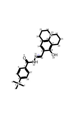 C[N+](C)(C)c1ccc(C(=O)N/N=C/c2cc3c4c(c2O)CCCN4CCC3)cc1